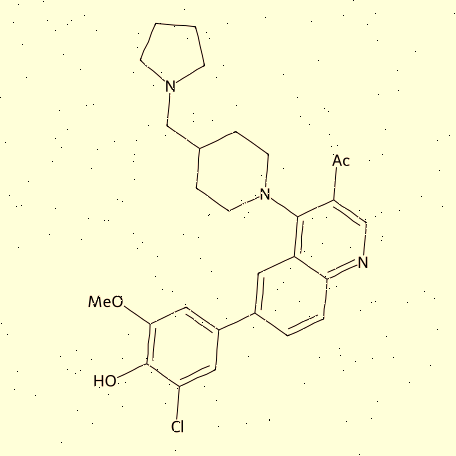 COc1cc(-c2ccc3ncc(C(C)=O)c(N4CCC(CN5CCCC5)CC4)c3c2)cc(Cl)c1O